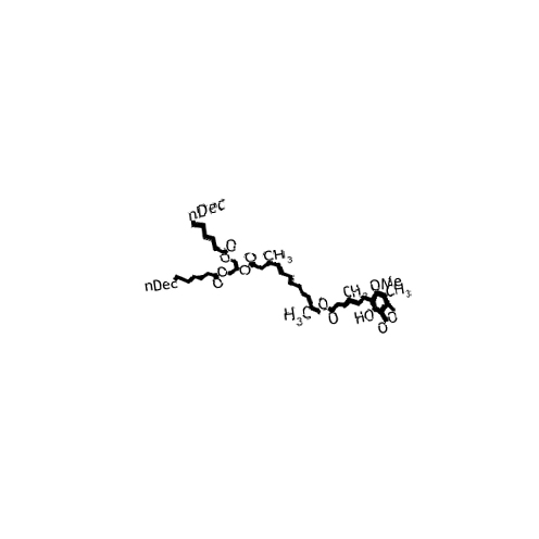 CCCCCCCCCCCCCCCC(=O)OCC(COC(=O)CCCCCCCCCCCCCCC)OC(=O)CC(C)CCCCCCCC(C)COC(=O)CC/C(C)=C/Cc1c(O)c2c(c(C)c1OC)COC2=O